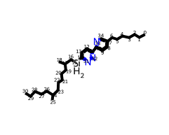 CCCCCCCc1ccc(-c2ccc([SiH2]CC(C)CCCCCC(C)CCCCC)nn2)nc1